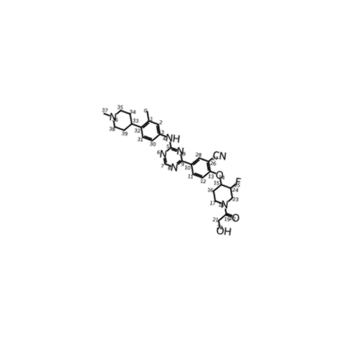 Cc1cc(Nc2ncnc(-c3ccc(OC4CCN(C(=O)CO)CC4F)c(C#N)c3)n2)ccc1C1CCN(C)CC1